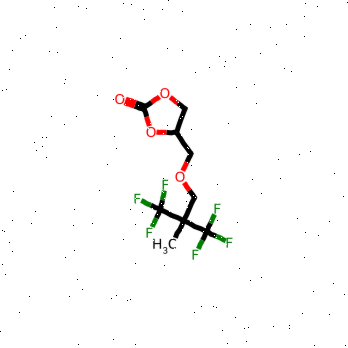 CC(COCC1COC(=O)O1)(C(F)(F)F)C(F)(F)F